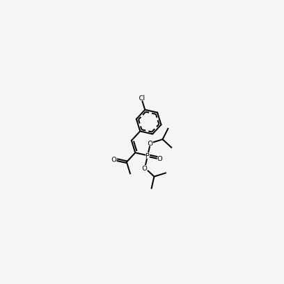 CC(=O)/C(=C/c1cccc(Cl)c1)P(=O)(OC(C)C)OC(C)C